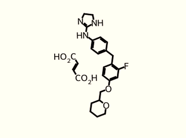 Fc1cc(OCC2CCCCO2)ccc1Cc1ccc(NC2=NCCN2)cc1.O=C(O)C=CC(=O)O